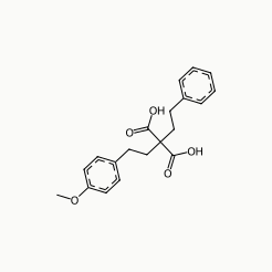 COc1ccc(CCC(CCc2ccccc2)(C(=O)O)C(=O)O)cc1